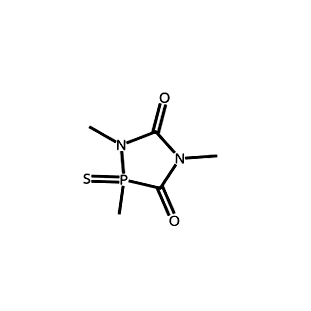 CN1C(=O)N(C)P(C)(=S)C1=O